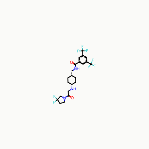 O=C(NC[C@H]1CC[C@@H](NCC(=O)N2CCC(F)(F)C2)CC1)c1cc(C(F)(F)F)cc(C(F)(F)F)c1